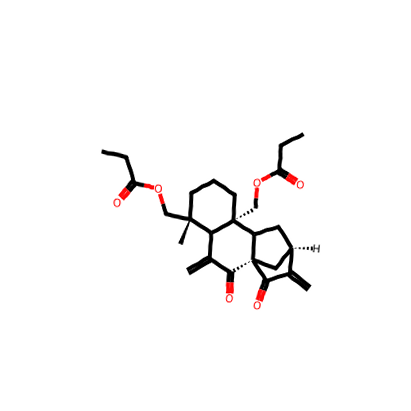 C=C1C(=O)[C@@]23C[C@@H](CC2[C@]2(COC(=O)CC)CCC[C@@](C)(COC(=O)CC)C12)C(=C)C3=O